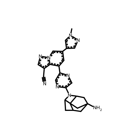 Cn1cc(-c2cc(-c3cnc(N4C5CC6CC4CC(N)(C6)C5)cn3)c3c(C#N)cnn3c2)cn1